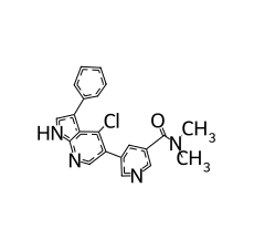 CN(C)C(=O)c1cncc(-c2cnc3[nH]cc(-c4ccccc4)c3c2Cl)c1